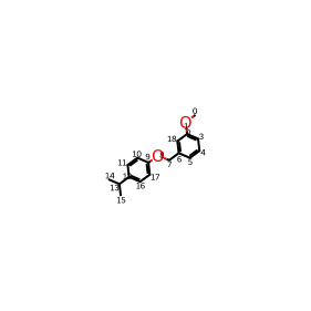 COc1cccc(COc2ccc(C(C)C)cc2)c1